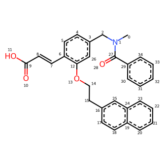 CN(Cc1ccc(C=CC(=O)O)c(OCCc2ccc3ccccc3c2)c1)C(=O)c1ccccc1